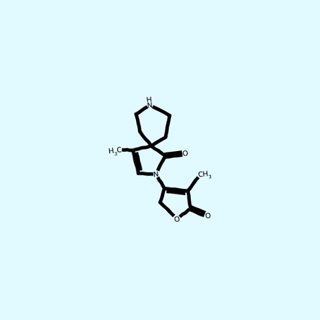 CC1=CN(C2=C(C)C(=O)OC2)C(=O)C12CCNCC2